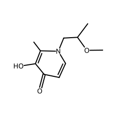 COC(C)Cn1ccc(=O)c(O)c1C